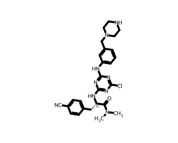 CN(C)C(=O)[C@H](Cc1ccc(C#N)cc1)Nc1nc(Cl)nc(Nc2cccc(CN3CCNCC3)c2)n1